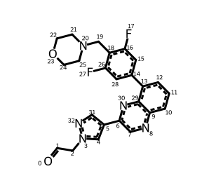 O=CCn1cc(-c2cnc3cccc(-c4cc(F)c(CN5CCOCC5)c(F)c4)c3n2)cn1